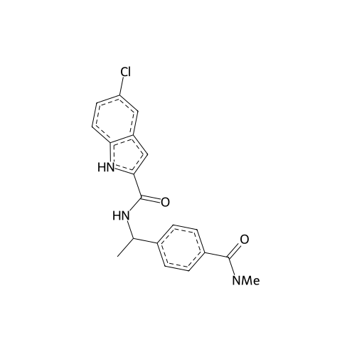 CNC(=O)c1ccc(C(C)NC(=O)c2cc3cc(Cl)ccc3[nH]2)cc1